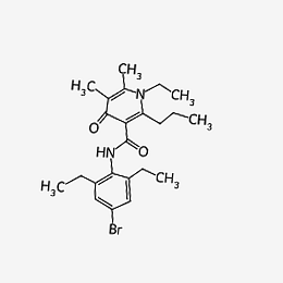 CCCc1c(C(=O)Nc2c(CC)cc(Br)cc2CC)c(=O)c(C)c(C)n1CC